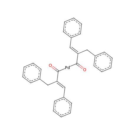 O=[C]([Pd][C](=O)C(=Cc1ccccc1)Cc1ccccc1)C(=Cc1ccccc1)Cc1ccccc1